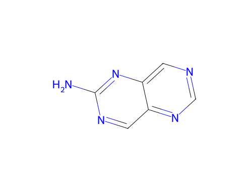 Nc1ncc2ncncc2n1